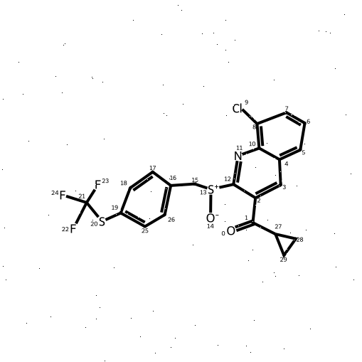 O=C(c1cc2cccc(Cl)c2nc1[S+]([O-])Cc1ccc(SC(F)(F)F)cc1)C1CC1